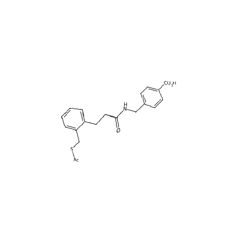 CC(=O)SCc1ccccc1CCC(=O)NCc1ccc(C(=O)O)cc1